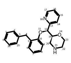 c1ccc(Cc2ccccc2O[C@@H](c2ccccn2)[C@@H]2CNCCO2)cc1